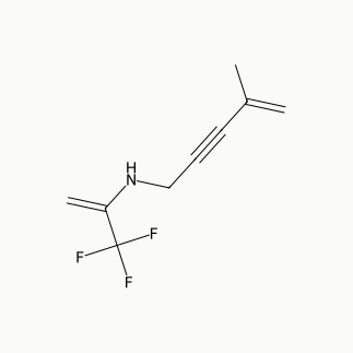 C=C(C)C#CCNC(=C)C(F)(F)F